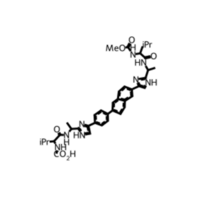 COC(=O)NC(C(=O)NC(C)c1nc(-c2ccc3cc(-c4ccc(-c5c[nH]c(C(C)NC(=O)C(NC(=O)O)C(C)C)n5)cc4)ccc3c2)c[nH]1)C(C)C